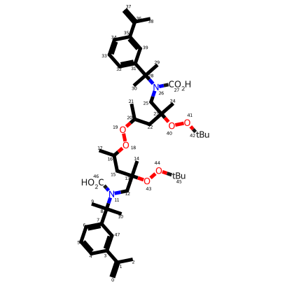 C=C(C)c1cccc(C(C)(C)N(CC(C)(CC(C)OOC(C)CC(C)(CN(C(=O)O)C(C)(C)c2cccc(C(=C)C)c2)OOC(C)(C)C)OOC(C)(C)C)C(=O)O)c1